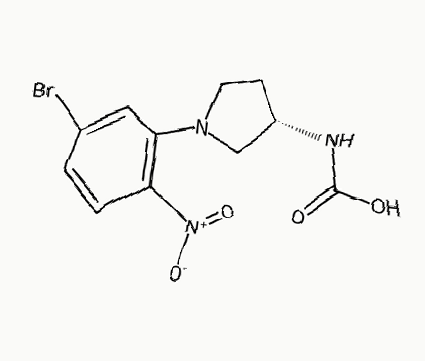 O=C(O)N[C@H]1CCN(c2cc(Br)ccc2[N+](=O)[O-])C1